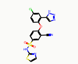 N#Cc1cc(S(=O)(=O)Nc2nccs2)ccc1Oc1ccc(Cl)cc1-c1cnn[nH]1